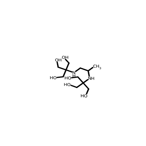 CC(CNC(CO)(CO)CO)NC(CO)(CO)CO